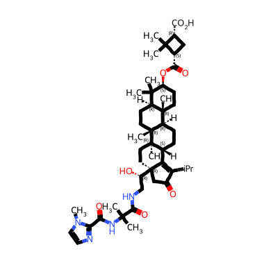 CC(C)C1=C2[C@H]3CC[C@@H]4[C@@]5(C)CC[C@H](OC(=O)[C@H]6C[C@@H](C(=O)O)C6(C)C)C(C)(C)[C@@H]5CC[C@@]4(C)[C@]3(C)CC[C@@]2([C@@H](O)CNC(=O)C(C)(C)NC(=O)c2nccn2C)CC1=O